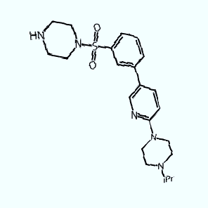 CC(C)N1CCN(c2ccc(-c3cccc(S(=O)(=O)N4CCNCC4)c3)cn2)CC1